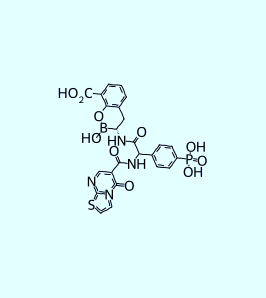 O=C(O)c1cccc2c1OB(O)[C@@H](NC(=O)C(NC(=O)c1cnc3sccn3c1=O)c1ccc(P(=O)(O)O)cc1)C2